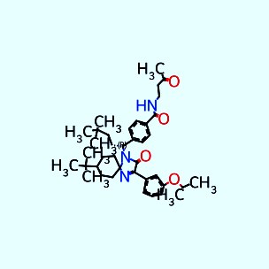 CC(=O)CCNC(=O)c1ccc([C@@H](CCC(C)(C)C)N2C(=O)C(c3cccc(OC(C)C)c3)=NC23CCC(C(C)(C)C)CC3)cc1